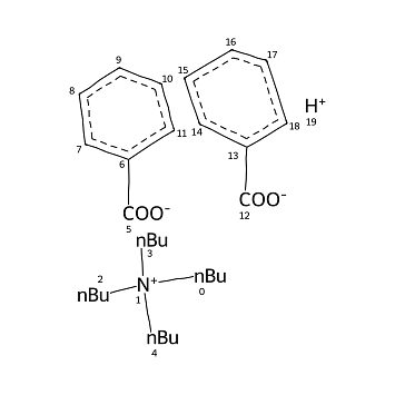 CCCC[N+](CCCC)(CCCC)CCCC.O=C([O-])c1ccccc1.O=C([O-])c1ccccc1.[H+]